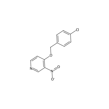 O=[N+]([O-])c1cnccc1OCc1ccc(Cl)cc1